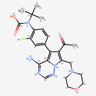 CC(=O)c1c(-c2ccc(N(C(=O)O)C(C)(C)C)c(F)c2)c2c(N)ncnn2c1CN1CCOCC1